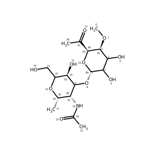 CO[C@H]1C(O)C(O)[C@H](OC2[C@H](O)C(CO)O[C@@H](C)[C@H]2NC(C)=O)O[C@H]1C(C)=O